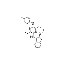 CCOC1Cc2ccccc2C1Nc1nc(CC)c(Sc2ccc(C)cc2)nc1CC